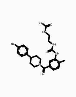 Cc1ccc(C(=O)N2CCC(c3ccc(C#N)cc3)CC2)cc1NC(=O)NCCNC(=O)C(C)C